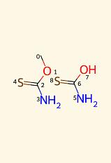 COC(N)=S.NC(O)=S